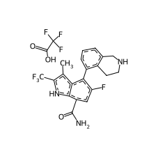 Cc1c(C(F)(F)F)[nH]c2c(C(N)=O)cc(F)c(-c3cccc4c3CCNC4)c12.O=C(O)C(F)(F)F